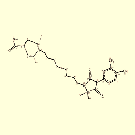 C[C@@H]1CN(C(=O)C(C)(C)C)C[C@H](C)N1CCCCCCCCN1C(=S)N(c2ccc(C#N)c(C(F)(F)F)c2)C(=O)C1(C)C